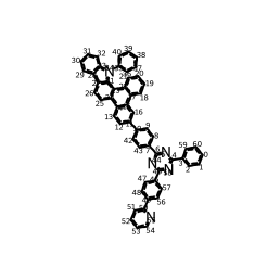 c1ccc(-c2nc(-c3ccc(-c4ccc5c(c4)c4ccccc4c4c5ccc5c6ccccc6n(-c6ccccc6)c54)cc3)nc(-c3ccc(-c4ccccn4)cc3)n2)cc1